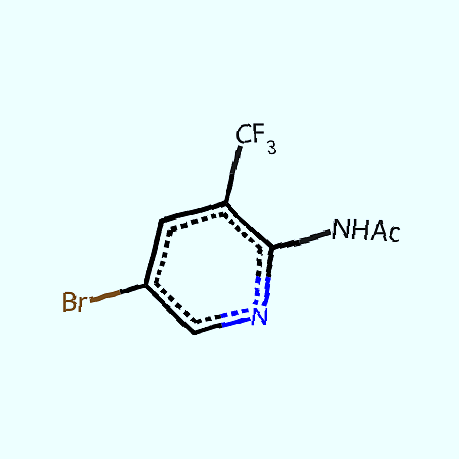 CC(=O)Nc1ncc(Br)cc1C(F)(F)F